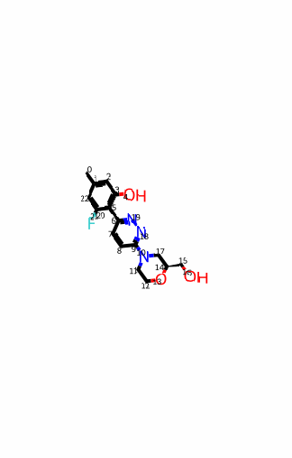 Cc1cc(O)c(-c2ccc(N3CCO[C@H](CO)C3)nn2)c(F)c1